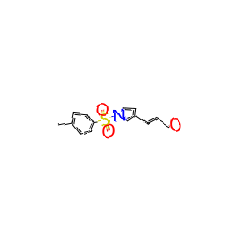 Cc1ccc(S(=O)(=O)n2ccc(/C=C/C=O)c2)cc1